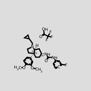 COc1ccc([C@@]23CC[C@@H](NC(=O)Nc4cccc(F)c4)C[C@@H]2N(CC2CC2)CC3)cc1OC.O=C(O)C(F)(F)F